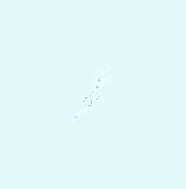 C/C=C/CCc1ccc2cc([C@@H]3CC[C@@H]4CC(CC)CCC4C3)cc(F)c2c1F